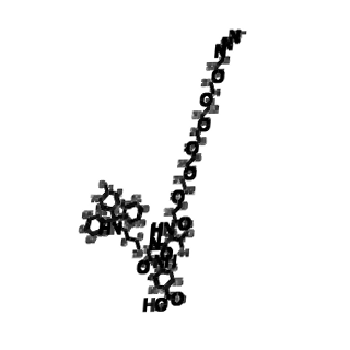 Cc1ccc(C(NCCCC[C@H](NC(=O)[C@@H](NC(=O)CCOCCOCCOCCOCCOCCOCCN=[N+]=[N-])C(C)C)C(=O)Nc2ccc(C(=O)O)cc2)(c2ccccc2)c2ccccc2)cc1